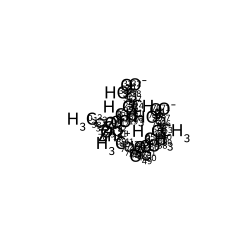 Cc1ccc(S(=O)(=O)c2ccccc2OC(C)Oc2cccc(C(C)(C)c3ccc(C(=O)[O-])c(O)c3)c2)cc1.Cc1ccc(S(=O)(=O)c2ccccc2OC(C)Oc2cccc(C(C)(C)c3ccc(C(=O)[O-])c(O)c3)c2)cc1.[Zn+2]